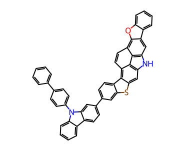 c1ccc(-c2ccc(-n3c4ccccc4c4ccc(-c5ccc6c(c5)sc5cc7[nH]c8cc9c%10ccccc%10oc9c9ccc(c56)c7c89)cc43)cc2)cc1